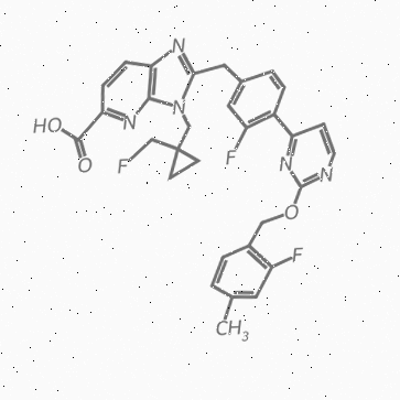 Cc1ccc(COc2nccc(-c3ccc(Cc4nc5ccc(C(=O)O)nc5n4CC4(CF)CC4)cc3F)n2)c(F)c1